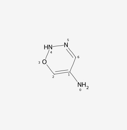 NC1=CONN=C1